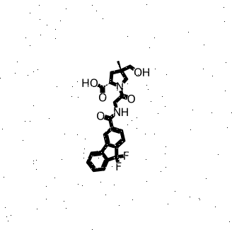 C[C@]1(CO)C[C@@H](C(=O)O)N(C(=O)CNC(=O)c2ccc3c(c2)-c2ccccc2C3(F)F)C1